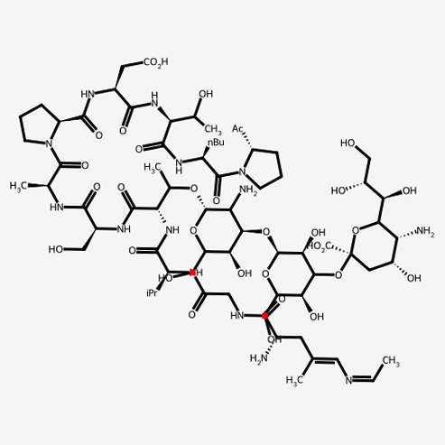 C/C=N\C=C(/C)C[C@H](N)C(=O)NCC(=O)N[C@H](C(=O)N[C@H](C(=O)N[C@@H](CO)C(=O)N[C@@H](C)C(=O)N1CCC[C@H]1C(=O)N[C@@H](CC(=O)O)C(=O)N[C@H](C(=O)N[C@@H](CCCC)C(=O)N1CCC[C@H]1C(C)=O)C(C)O)C(C)O[C@H]1OC(CO)[C@H](O)[C@H](O[C@@H]2OC(CO)[C@H](O)C(O[C@]3(C(=O)O)C[C@@H](O)[C@@H](N)C([C@H](O)[C@H](O)CO)O3)[C@@H]2O)C1N)C(C)C